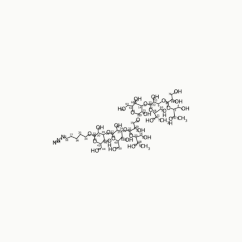 C[C@H](O)C(CO)O[C@@H](OC[C@H](O)[C@H](OC1C(O)[C@H](OC[C@H](O)[C@H](OC2C(O)[C@H](OC3C(O)[C@H](OCCCCCN=[N+]=[N-])OC(CO)[C@H]3O)OC(CO)[C@H]2O)OC(CO)[C@H](C)O)OC(CO)[C@H]1O)OC(CO)[C@H](C)O)[C@@H](O)CO